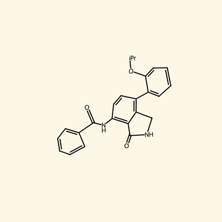 CC(C)Oc1ccccc1-c1ccc(NC(=O)c2ccccc2)c2c1CNC2=O